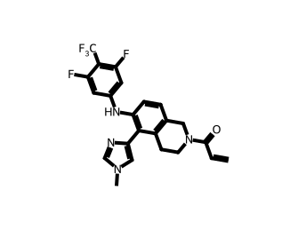 C=CC(=O)N1CCc2c(ccc(Nc3cc(F)c(C(F)(F)F)c(F)c3)c2-c2cn(C)cn2)C1